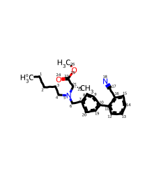 CCCCCN(Cc1ccc(-c2ccccc2C#N)cc1)[C@@H](C)C(=O)OC